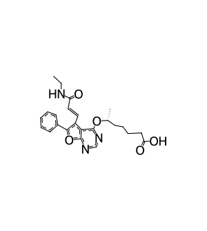 CCNC(=O)C=Cc1c(-c2ccccc2)oc2ncnc(O[C@H](C)CCCCC(=O)O)c12